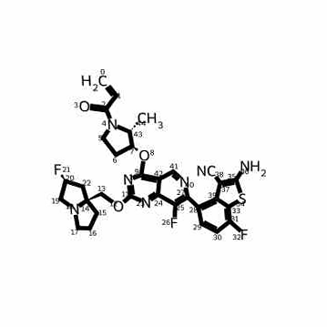 C=CC(=O)N1CC[C@@H](Oc2nc(OC[C@@]34CCCN3C[C@H](F)C4)nc3c(F)c(-c4ccc(F)c5sc(N)c(C#N)c45)ncc23)[C@H]1C